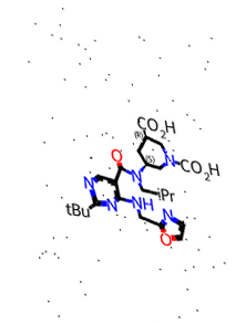 CC(C)CN(C(=O)c1cnc(C(C)(C)C)nc1NCc1ncco1)[C@H]1C[C@@H](C(=O)O)CN(C(=O)O)C1